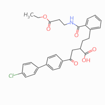 CCOC(=O)CCNC(=O)c1ccccc1CCC(CC(=O)c1ccc(-c2ccc(Cl)cc2)cc1)C(=O)O